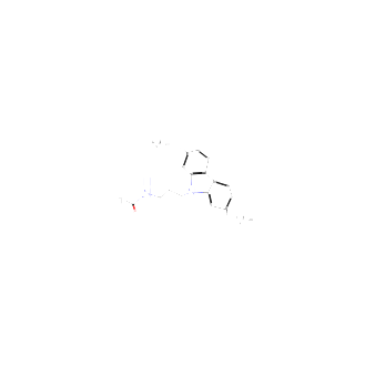 COc1ccc2c3ccc(OC)cc3n(CCCNC(=O)C(C)C)c2c1